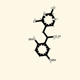 COc1ccc(OC)c(C(Cc2cnc(Cl)nc2Cl)C(=O)O)c1